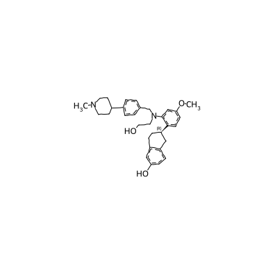 COc1ccc([C@@H]2CCc3cc(O)ccc3C2)c(N(CCO)Cc2ccc(C3CCN(C)CC3)cc2)c1